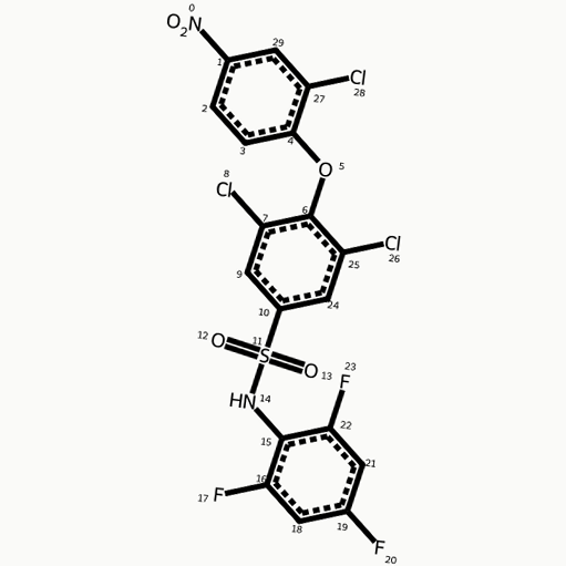 O=[N+]([O-])c1ccc(Oc2c(Cl)cc(S(=O)(=O)Nc3c(F)cc(F)cc3F)cc2Cl)c(Cl)c1